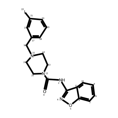 O=C(Nc1noc2ccccc12)N1CCN(Cc2cccc(I)c2)CC1